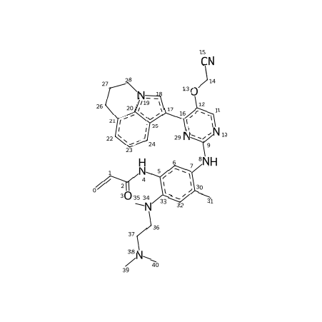 C=CC(=O)Nc1cc(Nc2ncc(OCC#N)c(-c3cn4c5c(cccc35)CCC4)n2)c(C)cc1N(C)CCN(C)C